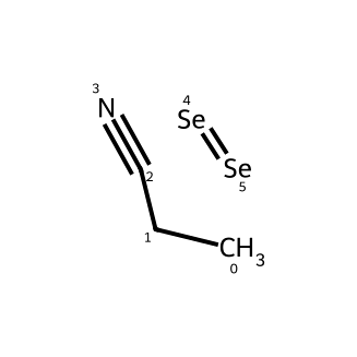 CCC#N.[Se]=[Se]